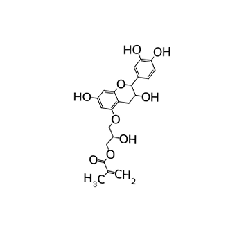 C=C(C)C(=O)OCC(O)COc1cc(O)cc2c1CC(O)C(c1ccc(O)c(O)c1)O2